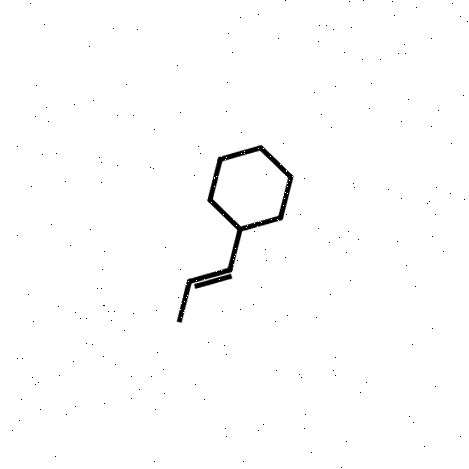 CC=C[C]1CCCCC1